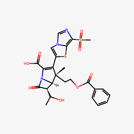 CC(O)[C@H]1C(=O)N2C(C(=O)O)=C(c3cn4cnc(S(C)(=O)=O)c4s3)[C@](C)(CCOC(=O)c3ccccc3)[C@@H]12